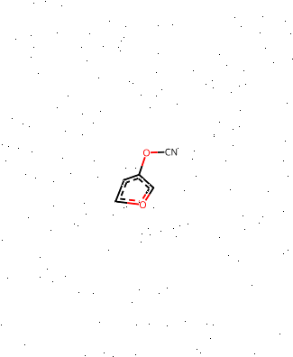 N#COc1ccoc1